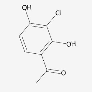 CC(=O)c1ccc(O)c(Cl)c1O